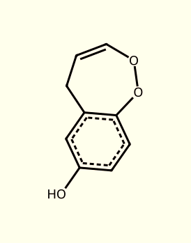 Oc1ccc2c(c1)CC=COO2